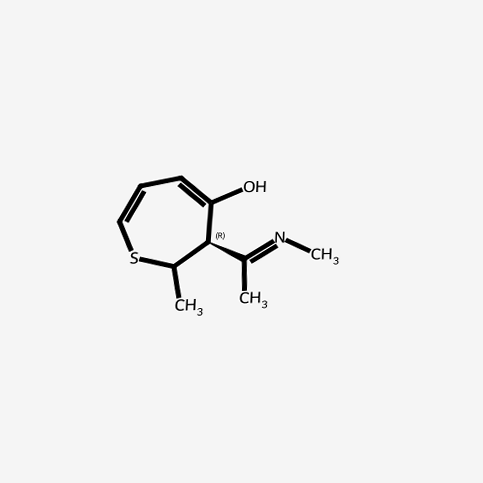 CN=C(C)[C@@H]1C(O)=CC=CSC1C